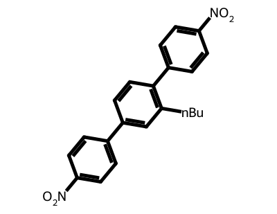 CCCCc1cc(-c2ccc([N+](=O)[O-])cc2)ccc1-c1ccc([N+](=O)[O-])cc1